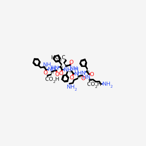 NCCCC[C@H](NC(=O)[C@H](Cc1ccccc1)NC(=O)[C@H](CCCCN)NC(=O)[C@H](Cc1ccccc1)NC(=O)[C@H](CCC(=O)O)NC(=O)[C@H](Cc1ccccc1)NC(=O)[C@H](CCC(=O)O)NC(=O)[C@@H](N)Cc1ccccc1)C(=O)O